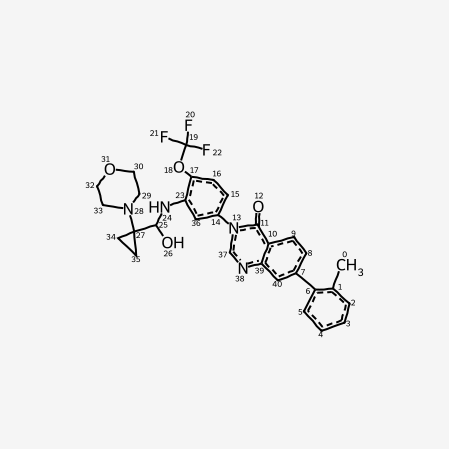 Cc1ccccc1-c1ccc2c(=O)n(-c3ccc(OC(F)(F)F)c(NC(O)C4(N5CCOCC5)CC4)c3)cnc2c1